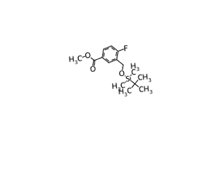 COC(=O)c1ccc(F)c(CO[Si](C)(C)C(C)(C)C)c1